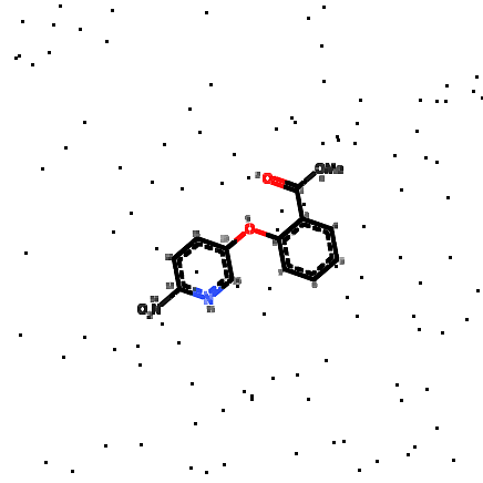 COC(=O)c1ccccc1Oc1ccc([N+](=O)[O-])nc1